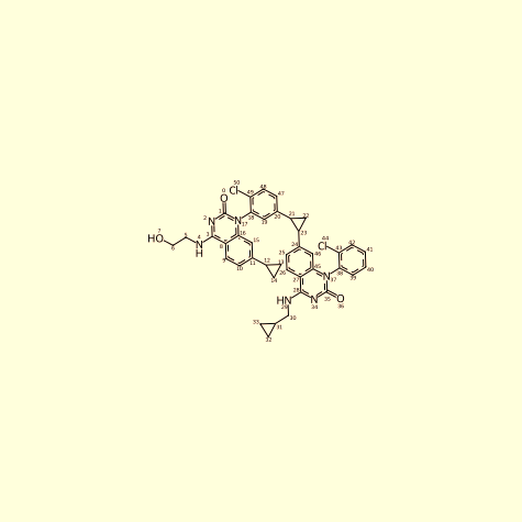 O=c1nc(NCCO)c2ccc(C3CC3)cc2n1-c1cc(C2CC2c2ccc3c(NCC4CC4)nc(=O)n(-c4ccccc4Cl)c3c2)ccc1Cl